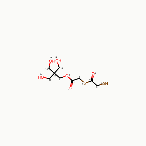 O=C(CSC(=O)CS)OCC(CO)(CO)CO